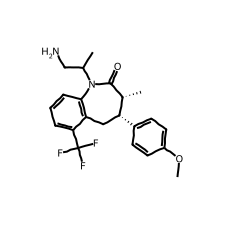 COc1ccc([C@@H]2Cc3c(cccc3C(F)(F)F)N(C(C)CN)C(=O)[C@@H]2C)cc1